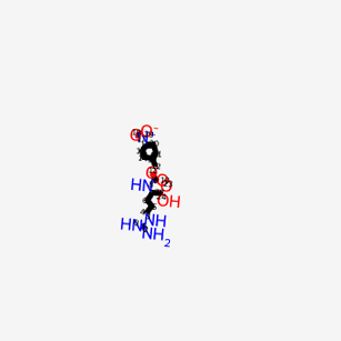 N=C(N)NCCCC(NC(=O)OCc1ccc([N+](=O)[O-])cc1)C(=O)O